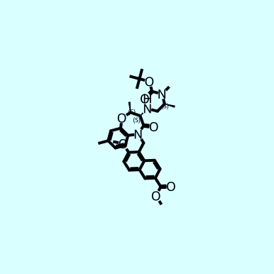 COC(=O)c1ccc2c(CN3C(=O)[C@@H](NC[C@H](C)N(C)C(=O)OC(C)(C)C)[C@H](C)Oc4cc(C)ccc43)c(OC)ccc2c1